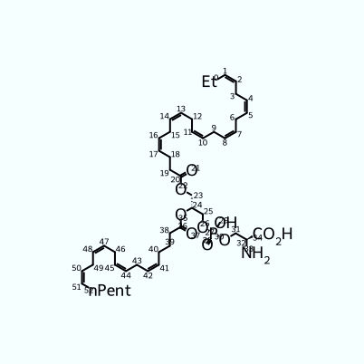 CC/C=C\C/C=C\C/C=C\C/C=C\C/C=C\C/C=C\CCC(=O)OC[C@H](COP(=O)(O)OC[C@H](N)C(=O)O)OC(=O)CCC/C=C\C/C=C\C/C=C\C/C=C\CCCCC